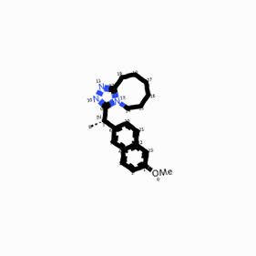 COc1ccc2cc([C@H](C)c3nnc4n3CCCCCC4)ccc2c1